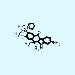 C=S(=O)(c1cc2c(cc1OC)C(C)(C)c1[nH]c3cc(N)ccc3c1C2=O)N1CCCC1